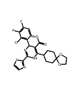 COC(=O)C1=C(C2CCC3(CC2)OCCO3)NC(c2nccs2)=NC1c1ccc(F)c(F)c1Cl